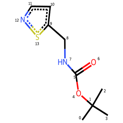 CC(C)(C)OC(=O)NCc1ccns1